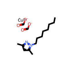 CCCCCCCCn1nc(C)cc1C.O=C[O-].O=C[O-].[Cu+2]